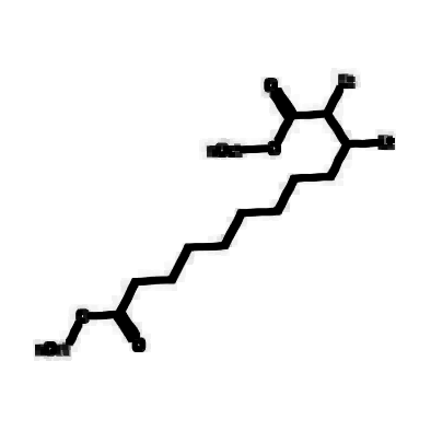 CCCCCCCCOC(=O)CCCCCCCCC(CC)C(CC)C(=O)OCCCCCCCC